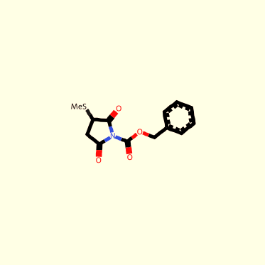 CSC1CC(=O)N(C(=O)OCc2ccccc2)C1=O